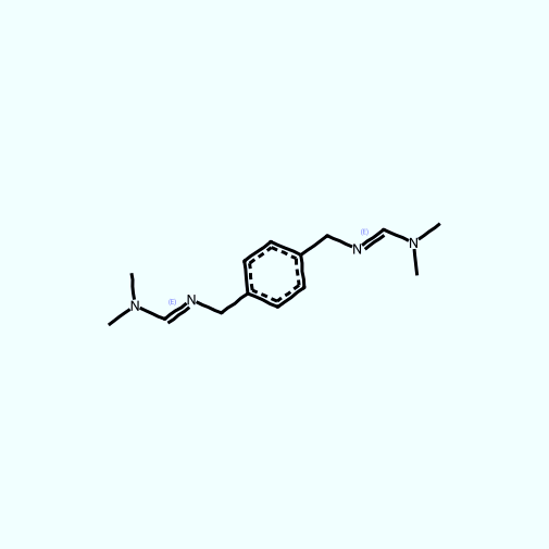 CN(C)/C=N/Cc1ccc(C/N=C/N(C)C)cc1